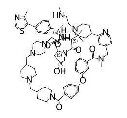 CNCCN1CCC(c2cc(CN(C)C(=O)c3cccc(Oc4ccc(C(=O)N5CCC(CN6CCC(CN7CCN(CC(=O)N[C@H](C(=O)N8C[C@H](O)C[C@H]8C(=O)N[C@@H](C)c8ccc(-c9scnc9C)cc8)C(C)(C)C)CC7)CC6)CC5)cc4)c3)ccn2)CC1